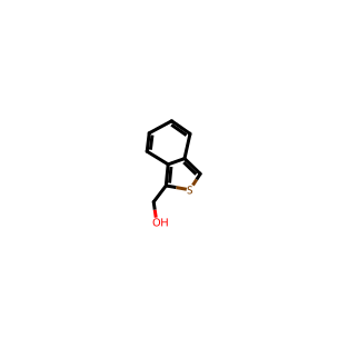 OCc1scc2ccccc12